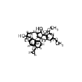 COc1cc2c(c(OC)n1)[C@]1(O)[C@H](O)[C@H](CN3CC(C)(O)C3)[C@@H](c3ccccc3)[C@]1(c1ccc(C3CC3)cc1)O2